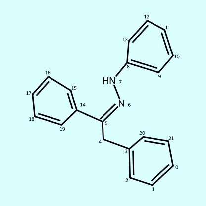 c1ccc(CC(=NNc2ccccc2)c2ccccc2)cc1